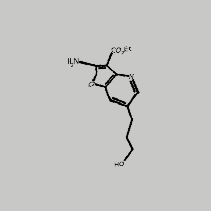 CCOC(=O)c1c(N)oc2cc(CCCO)cnc12